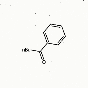 CCCCC(=O)c1cc[c]cc1